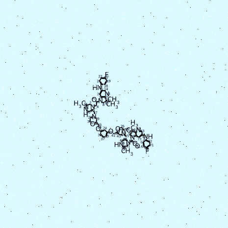 C[C@@H]1CN(CC(=O)N2CC(C)(C)c3ncc(Nc4ccc(F)cc4)cc32)[C@@H](CN2CCO[C@H](COc3cccc(OC[C@@H]4CN(C[C@H]5CN[C@H](C)CN5C(=C=O)N5CC(C)(C)c6ncc(Nc7ccc(F)cc7)cc65)CCO4)c3)C2)CN1